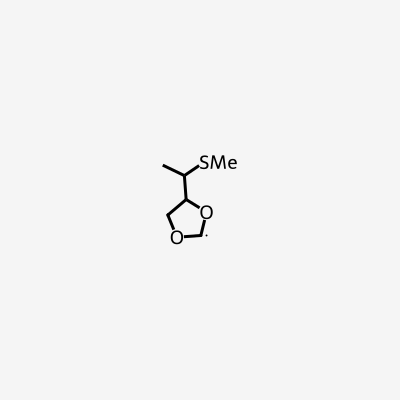 CSC(C)C1CO[CH]O1